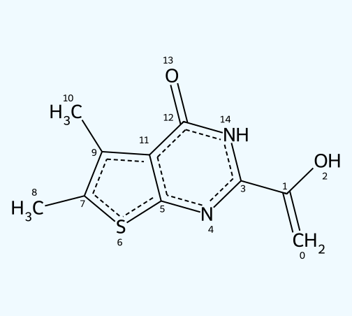 C=C(O)c1nc2sc(C)c(C)c2c(=O)[nH]1